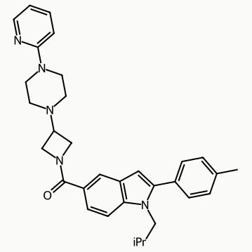 Cc1ccc(-c2cc3cc(C(=O)N4CC(N5CCN(c6ccccn6)CC5)C4)ccc3n2CC(C)C)cc1